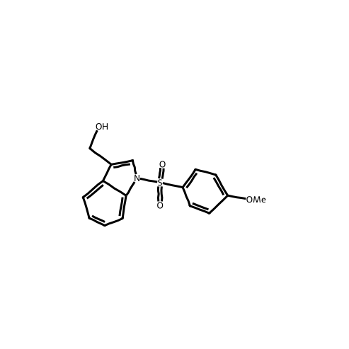 COc1ccc(S(=O)(=O)n2cc(CO)c3ccccc32)cc1